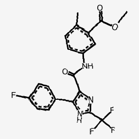 COC(=O)c1cc(NC(=O)c2nc(C(F)(F)F)[nH]c2-c2ccc(F)cc2)ccc1C